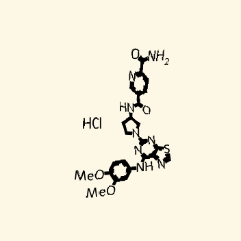 COc1ccc(Nc2nc(N3CCC(NC(=O)c4ccc(C(N)=O)nc4)C3)nc3scnc23)cc1OC.Cl